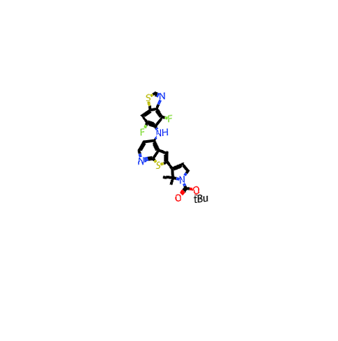 CC(C)(C)OC(=O)N1CC=C(c2cc3c(Nc4c(F)cc5scnc5c4F)ccnc3s2)C1(C)C